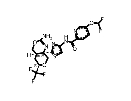 NC1=N[C@@]2(c3nc(NC(=O)c4ccc(OC(F)F)cn4)cs3)CO[C@@H](C(F)(F)F)C[C@H]2CO1